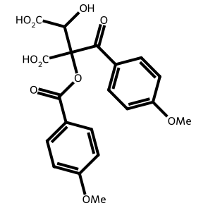 COc1ccc(C(=O)OC(C(=O)O)(C(=O)c2ccc(OC)cc2)C(O)C(=O)O)cc1